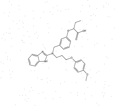 CCC(Oc1cccc(CN(CCCOc2ccc(OC)cc2)c2nc3ccccc3[nH]2)c1)C(=O)O